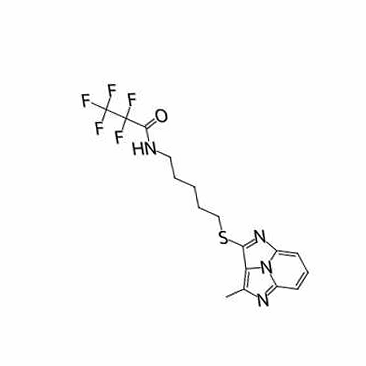 Cc1nc2cccc3nc(SCCCCCNC(=O)C(F)(F)C(F)(F)F)c1n23